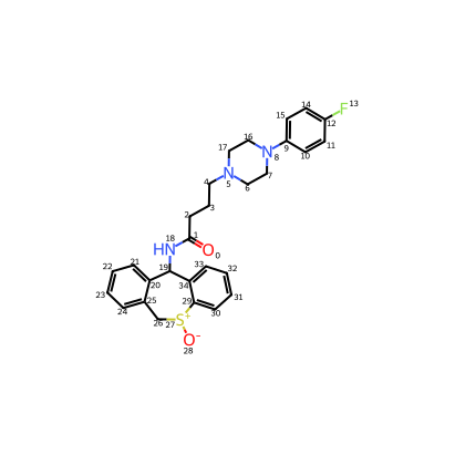 O=C(CCCN1CCN(c2ccc(F)cc2)CC1)NC1c2ccccc2C[S+]([O-])c2ccccc21